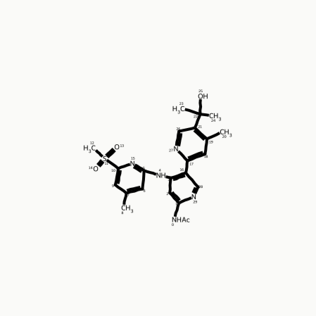 CC(=O)Nc1cc(Nc2cc(C)cc(S(C)(=O)=O)n2)c(-c2cc(C)c(C(C)(C)O)cn2)cn1